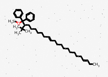 CCC=CCCCCCCCCCC=CCCCCCCC(C(C)(C)C)C(O[SiH3])(c1ccccc1)c1ccccc1